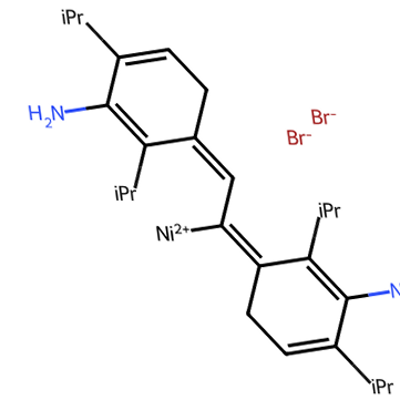 CC(C)C1=CCC(=C[C]([Ni+2])=C2CC=C(C(C)C)C(N)=C2C(C)C)C(C(C)C)=C1N.[Br-].[Br-]